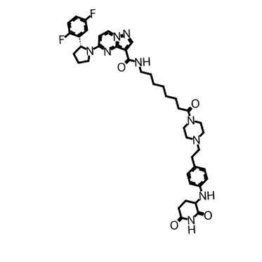 O=C1CCC(Nc2ccc(CCN3CCN(C(=O)CCCCCCCNC(=O)c4cnn5ccc(N6CCC[C@@H]6c6cc(F)ccc6F)nc45)CC3)cc2)C(=O)N1